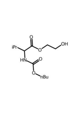 CCCCOC(=O)NC(C(=O)OCCO)C(C)C